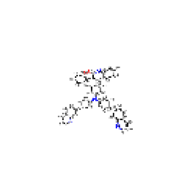 c1cnc2cc(-c3ccc(N(c4ccc(-c5ccc6cccnc6c5)cc4)c4ccc(-c5c6ccccc6nc6oc7ccccc7c56)cc4)cc3)ccc2c1